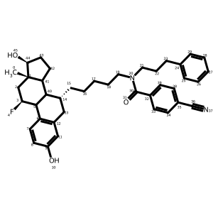 C[C@]12C[C@H](F)C3c4ccc(O)cc4C[C@@H](CCCCCN(CCCc4ccccc4)C(=O)c4ccc(C#N)cc4)C3C1CC[C@@H]2O